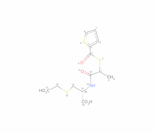 CC(SC(=O)c1cccs1)C(=O)N[C@@H](CSCC(=O)O)C(=O)O